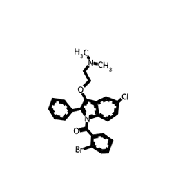 CN(C)CCOc1c(-c2ccccc2)n(C(=O)c2ccccc2Br)c2ccc(Cl)cc12